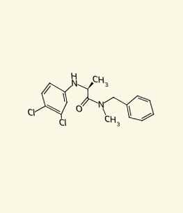 C[C@H](Nc1ccc(Cl)c(Cl)c1)C(=O)N(C)Cc1ccccc1